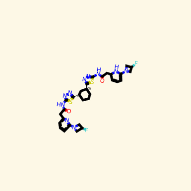 O=C(Cc1cccc(N2CC(F)C2)n1)Nc1nnc([C@H]2CCC[C@H](c3nnc(NC(=O)CC4C=CC=C(N5CC(F)C5)N4)s3)C2)s1